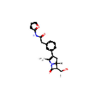 C[C@@H](O)[C@H]1C(=O)N2C(C(=O)O)=C(c3cccc(CC(=O)Nc4ccco4)c3)C[C@H]12